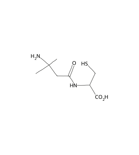 CC(C)(N)CC(=O)NC(CS)C(=O)O